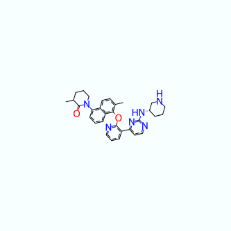 Cc1ccc2c(N3CCCC(C)C3=O)cccc2c1Oc1ncccc1-c1ccnc(N[C@H]2CCCNC2)n1